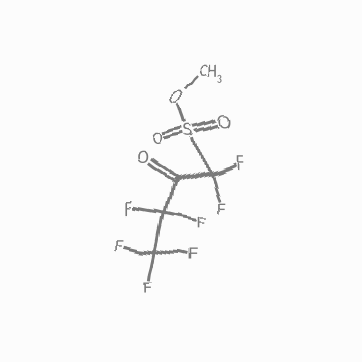 COS(=O)(=O)C(F)(F)C(=O)C(F)(F)C(F)(F)F